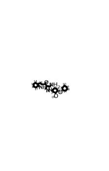 COc1cc(-n2ncc(C(=O)c3cc4ccccc4[nH]3)c2N)ccc1Oc1ccccc1